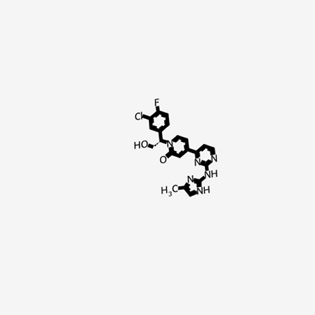 Cc1c[nH]c(Nc2nccc(-c3ccn([C@H](CO)c4ccc(F)c(Cl)c4)c(=O)c3)n2)n1